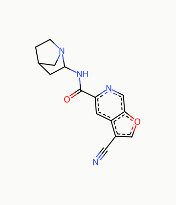 N#Cc1coc2cnc(C(=O)NC3CC4CCN3C4)cc12